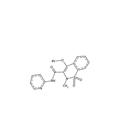 CC(C)OC1=C(C(=O)Nc2ccccn2)N(C)S(=O)(=O)c2ccccc21